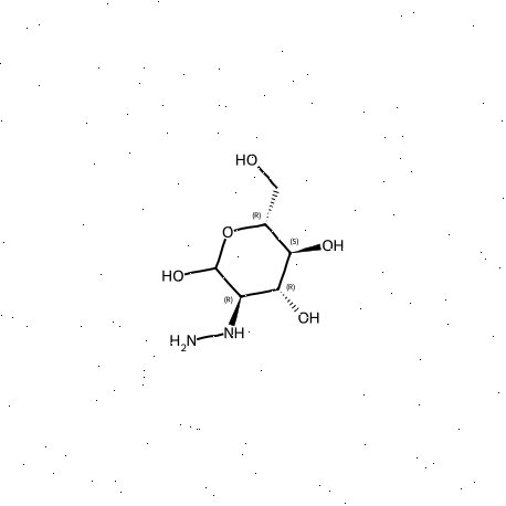 NN[C@H]1C(O)O[C@H](CO)[C@@H](O)[C@@H]1O